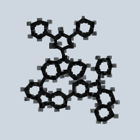 c1ccc(C2=NC(n3c4ccccc4c4cc(-c5cccc6oc7ccc(-c8ccc9c(c8)c8c%10ccccc%10ccc8n9-c8ccccc8)cc7c56)ccc43)NC(c3ccccc3)=N2)cc1